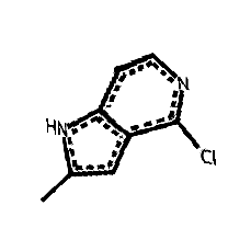 Cc1cc2c(Cl)nccc2[nH]1